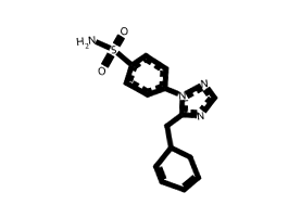 NS(=O)(=O)c1ccc(-n2ncnc2CC2C=CC=CC2)cc1